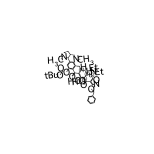 CCN(CC)[C@@H]1c2onc(OCc3ccccc3)c2C(=O)[C@@]2(O)C(O)=C3C(=O)c4c(OC(=O)OC(C)(C)C)cc5c(c4C[C@H]3C[C@@H]12)N(C)CC1CCN(C)C51